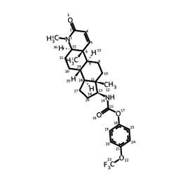 CN1C(=O)C=C[C@]2(C)[C@H]3CC[C@]4(C)[C@@H](NC(=O)Oc5ccc(OC(F)(F)F)cc5)CC[C@H]4[C@@H]3CC[C@@H]12